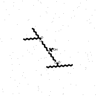 CCCCCCCCC(CCCCCC)C(=O)OCCCCCCN(CCCCCCOC(=O)C(CCCCCC)CCCCCCCC)C(C)(C)CO